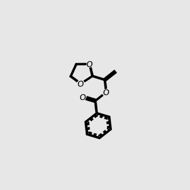 C=C(OC(=O)c1ccccc1)C1OCCO1